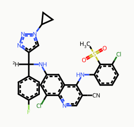 [2H]C(Nc1cc(Cl)c2ncc(C#N)c(Nc3cccc(Cl)c3S(C)(=O)=O)c2c1)(c1ccc(F)cc1)c1cn(C2CC2)nn1